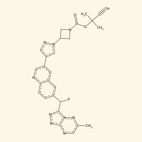 C#CC(C)(C)OC(=O)N1CC(n2cc(-c3cnc4ccc(C(F)c5nnc6ncc(C)nn56)cc4c3)cn2)C1